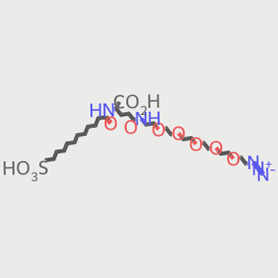 [N-]=[N+]=NCCOCCOCCOCCOCCOCCNC(=O)CCC(NC(=O)CCCCCCCCCCCS(=O)(=O)O)C(=O)O